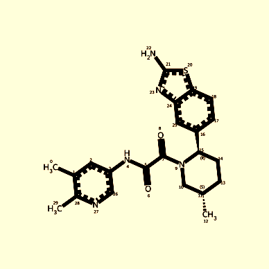 Cc1cc(NC(=O)C(=O)N2C[C@@H](C)CC[C@@H]2c2ccc3sc(N)nc3c2)cnc1C